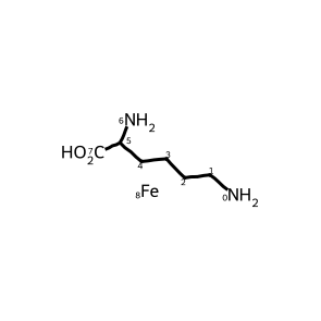 NCCCCC(N)C(=O)O.[Fe]